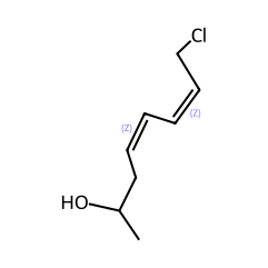 CC(O)C/C=C\C=C/CCl